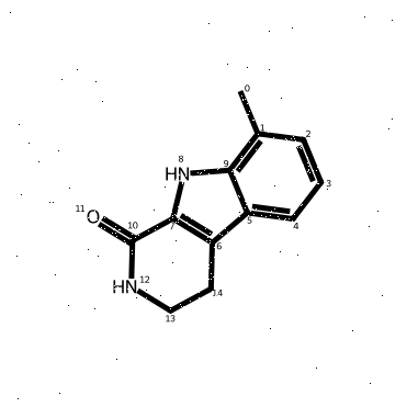 Cc1cccc2c3c([nH]c12)C(=O)NCC3